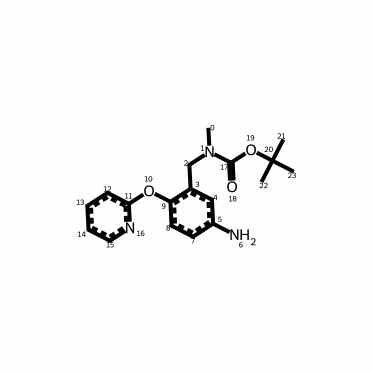 CN(Cc1cc(N)ccc1Oc1ccccn1)C(=O)OC(C)(C)C